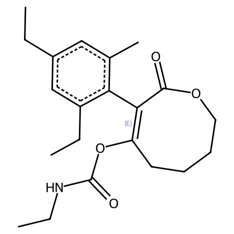 CCNC(=O)O/C1=C(\c2c(C)cc(CC)cc2CC)C(=O)OCCCC1